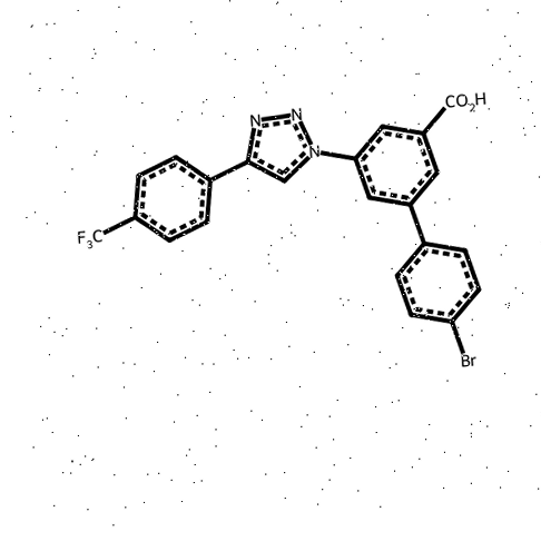 O=C(O)c1cc(-c2ccc(Br)cc2)cc(-n2cc(-c3ccc(C(F)(F)F)cc3)nn2)c1